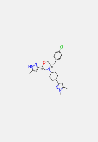 Cc1cc([C@H]2CN(C3CCC(c4cc(C)n(C)n4)CC3)[C@@H](Cc3ccc(Cl)cc3)CO2)n[nH]1